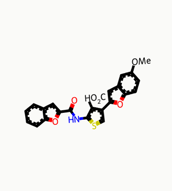 COc1ccc2oc(-c3csc(NC(=O)c4cc5ccccc5o4)c3C(=O)O)cc2c1